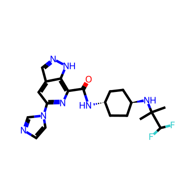 CC(C)(N[C@H]1CC[C@H](NC(=O)c2nc(-n3ccnc3)cc3cn[nH]c23)CC1)C(F)F